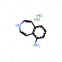 Cl.Cl.Nc1cccc2c1C=CNC=C2